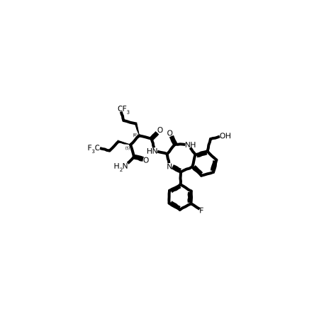 NC(=O)[C@@H](CCC(F)(F)F)[C@@H](CCC(F)(F)F)C(=O)NC1N=C(c2cccc(F)c2)c2cccc(CO)c2NC1=O